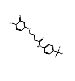 O=C(CCCOC1=CC(=O)C(O)C=C1)Nc1ccc(C(F)(F)F)cc1